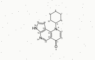 O=c1ccn(C2CCCCC2)c2c1cnc1[nH]ccc12